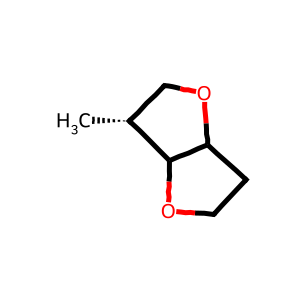 C[C@@H]1COC2CCOC21